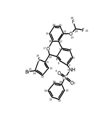 O=S(=O)(Nc1ccc2c(c1)C(c1ccc(Br)s1)Oc1cccc(OC(F)F)c1-2)c1ccccc1